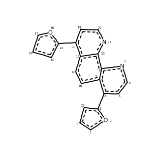 c1coc(-c2ccnc3c2ccc2c(-c4ccco4)ccnc23)c1